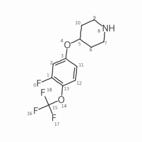 Fc1cc(OC2CCNCC2)ccc1OC(F)(F)F